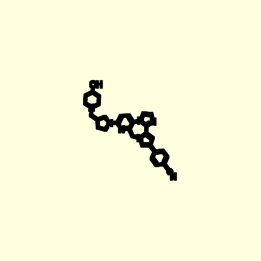 N#Cc1ccc(-c2cc3n(c2)Cc2nc(N4CCC(CN5CCC(O)CC5)C4)ccc2-n2ccnc2-3)cc1